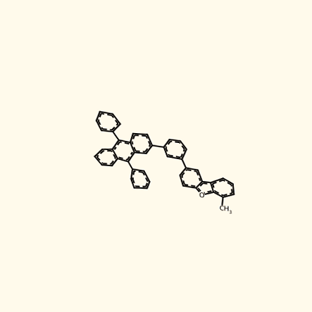 Cc1cccc2c1oc1ccc(-c3cccc(-c4ccc5c(-c6ccccc6)c6ccccc6c(-c6ccccc6)c5c4)c3)cc12